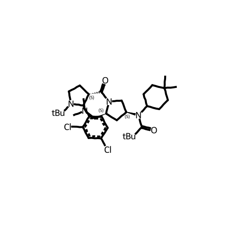 CN(C)C[C@@H]1C[C@H](N(C(=O)C(C)(C)C)C2CCC(C)(C)CC2)CN1C(=O)[C@H]1CCN(C(C)(C)C)C1c1ccc(Cl)cc1Cl